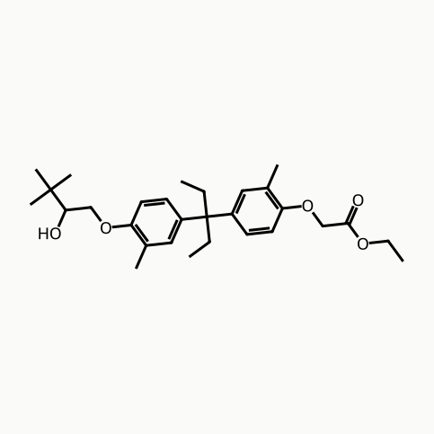 CCOC(=O)COc1ccc(C(CC)(CC)c2ccc(OCC(O)C(C)(C)C)c(C)c2)cc1C